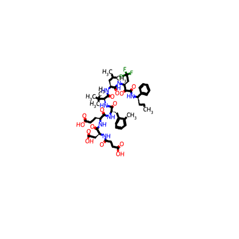 CCC[C@@H](NC(=O)C(=O)[C@H](CC(F)(F)F)NC(=O)[C@H](CC(C)C)NC(=O)[C@@H](NC(=O)[C@H](Cc1ccccc1C)NC(=O)[C@H](CCC(=O)O)NC(=O)[C@H](CC(=O)O)NC(=O)CCC(=O)O)C(C)(C)C)c1ccccc1